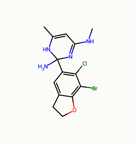 CNC1=NC(N)(c2cc3c(c(Br)c2Cl)OCC3)NC(C)=C1